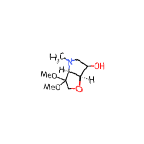 COC1(OC)CO[C@@H]2[C@H](O)CN(C)[C@@H]21